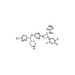 CCc1ccc(C(Oc2cnc(N3C[C@H](NC(=O)OC(C)(C)C)[C@@H](c4cc(F)c(F)cc4F)C3)nc2)C2CCNCC2)nn1